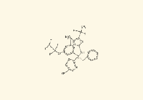 Cc1sc(N[C@](Cc2ccccc2)(c2cc(F)cc(OC(F)(F)C(F)F)c2)c2ccc(Cl)cn2)nc1C(C)(F)F